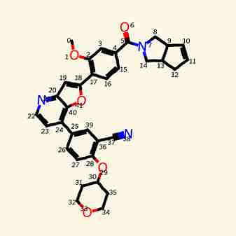 COc1cc(C(=O)N2CC3C=CCC3C2)ccc1-c1cc2nccc(-c3ccc(OC4CCOCC4)c(C#N)c3)c2o1